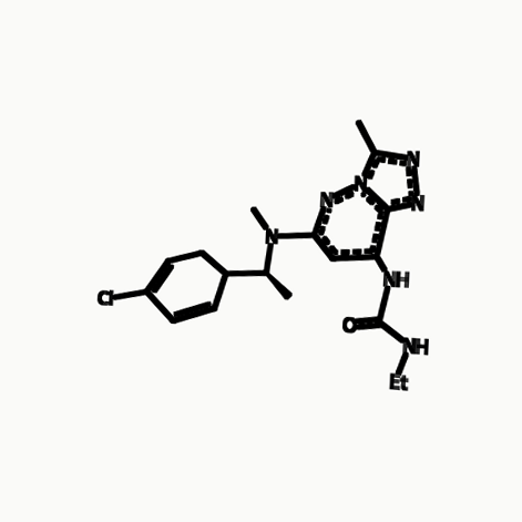 CCNC(=O)Nc1cc(N(C)[C@@H](C)C2C=CC(Cl)=CC2)nn2c(C)nnc12